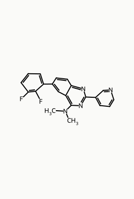 CN(C)c1nc(-c2cccnc2)nc2ccc(-c3cccc(F)c3F)cc12